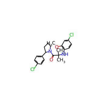 COc1cc(Cl)ccc1NC(C)(C)C(=O)N1CCCC1c1ccc(Cl)cc1